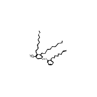 CCCCCCCCCc1cccc(O)c1CCCCCCCCC.CCCCCCCCc1ccccc1O